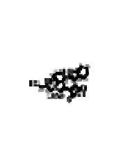 COc1c(C2=C(c3c[nH]c4ccccc34)C(=O)NC2=O)c2ccccc2n1C[C@H](O)CO